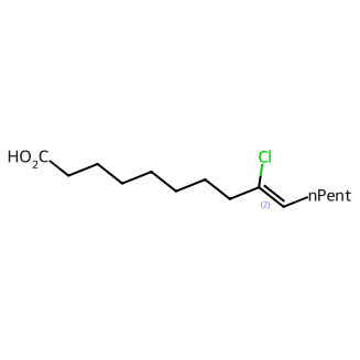 CCCCC/C=C(\Cl)CCCCCCCC(=O)O